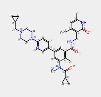 CCCc1cc(C)[nH]c(=O)c1CNC(=O)c1cc(-c2ccc(N3CCN(CC4CC4)CC3)nc2)cc(N(CC)C(=O)C2CC2)c1C